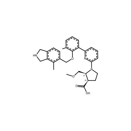 COC[C@@H]1[C@H](C(=O)O)CCN1c1cccc(-c2cccc(C)c2OCc2ccc3c(c2C)CNC3)n1